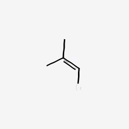 [CH2]/C(C)=C/Br